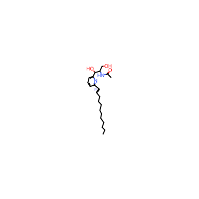 CCCCCCCCCC/C=C/c1cccc(C(O)C(CO)NC(C)=O)n1